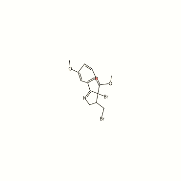 COC(=O)C1(Br)C(c2cccc(OC)c2)=NCC1CBr